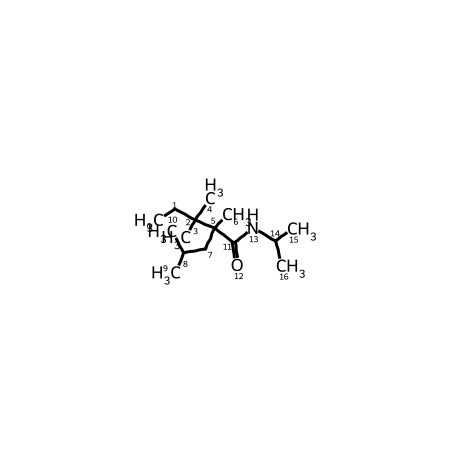 CCC(C)(C)C(C)(CC(C)C)C(=O)NC(C)C